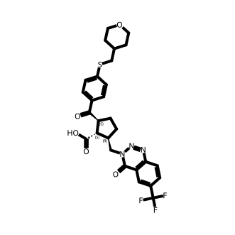 O=C(O)[C@H]1[C@H](Cn2nnc3ccc(C(F)(F)F)cc3c2=O)CC[C@@H]1C(=O)c1ccc(SCC2CCOCC2)cc1